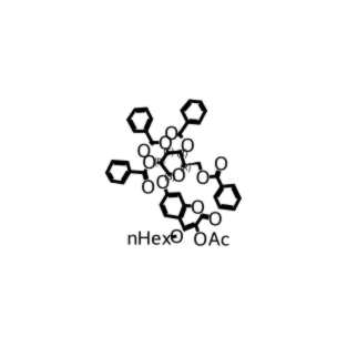 CCCCCCOc1c(OC(C)=O)c(=O)oc2cc(O[C@@H]3O[C@H](COC(=O)c4ccccc4)[C@@H](OC(=O)c4ccccc4)[C@H](OC(=O)c4ccccc4)[C@H]3OC(=O)c3ccccc3)ccc12